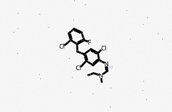 CCN(C)/C=N\c1cc(Cl)c(Cc2c(F)cccc2Cl)cc1Cl